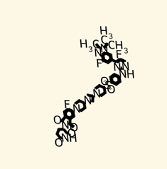 Cc1nc2c(F)cc(-c3nc(Nc4ccc(S(=O)(=O)C5CCN(C6CN(C7CCN(c8cc9c(cc8F)C(=O)N(C8CCC(=O)NC8=O)C9=O)CC7)C6)CC5)cc4)ncc3F)cc2n1C(C)C